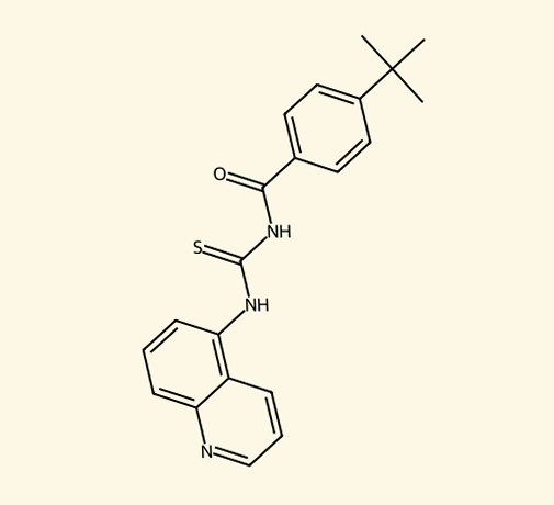 CC(C)(C)c1ccc(C(=O)NC(=S)Nc2cccc3ncccc23)cc1